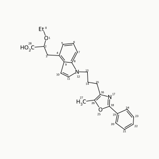 CCOC(Cc1cccc2c1ccn2CCCc1nc(-c2ccccc2)oc1C)C(=O)O